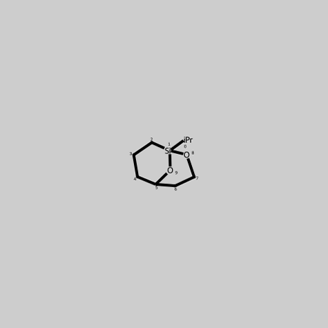 CC(C)[Si]12CCCC(CCO1)O2